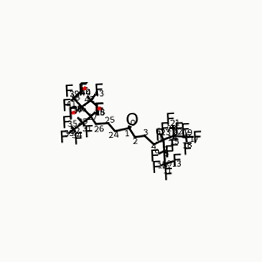 O=C(CCCC(F)(C(F)(F)C(F)(F)F)C(F)(C(F)(F)F)C(F)(F)F)CCCC(F)(C(F)(F)C(F)(F)F)C(F)(C(F)(F)F)C(F)(F)F